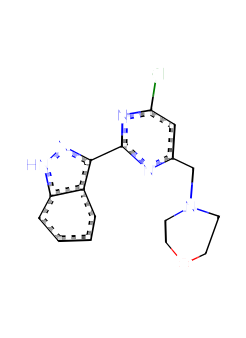 Clc1cc(CN2CCOCC2)nc(-c2n[nH]c3ccccc23)n1